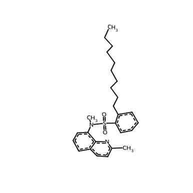 CCCCCCCCCCc1ccccc1S(=O)(=O)N(C)c1cccc2ccc(C)nc12